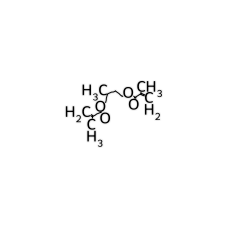 C=C(C)C(=O)OCCC(C)COC(=O)C(=C)C